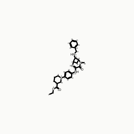 CCOC(=O)C1CCCN(c2ccc(NC3=NC4CC(C4NCc4ccccc4)N(C)C3=O)cc2)C1